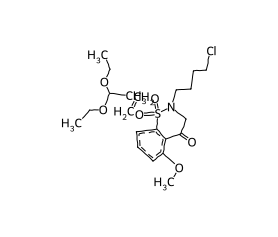 C=C.CCOC(C)OCC.COc1cccc2c1C(=O)CN(CCCCCl)S2(=O)=O